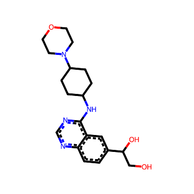 OCC(O)c1ccc2ncnc(NC3CCC(N4CCOCC4)CC3)c2c1